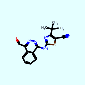 CC(C)(C)c1nc(Nc2nnc(C=O)c3ccccc23)sc1C#N